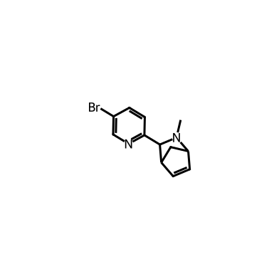 CN1C2C=CC(C2)C1c1ccc(Br)cn1